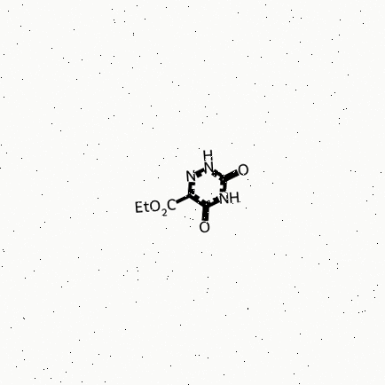 CCOC(=O)c1n[nH]c(=O)[nH]c1=O